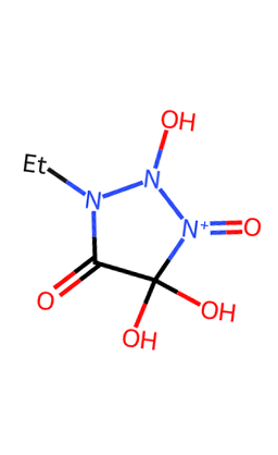 CCN1C(=O)C(O)(O)[N+](=O)N1O